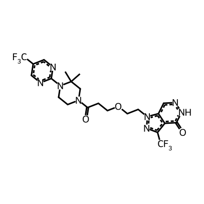 CC1(C)CN(C(=O)CCOCCn2nc(C(F)(F)F)c3c(=O)[nH]ncc32)CCN1c1ncc(C(F)(F)F)cn1